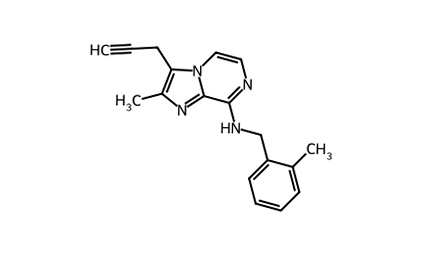 C#CCc1c(C)nc2c(NCc3ccccc3C)nccn12